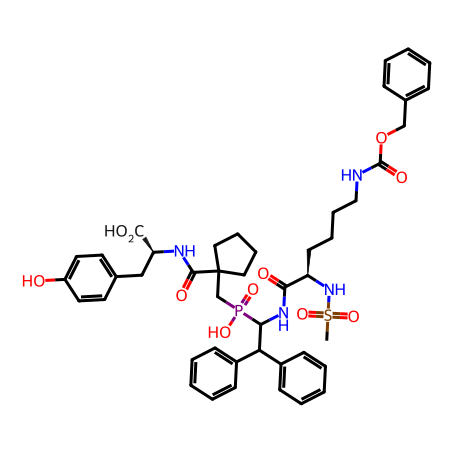 CS(=O)(=O)N[C@H](CCCCNC(=O)OCc1ccccc1)C(=O)NC(C(c1ccccc1)c1ccccc1)P(=O)(O)CC1(C(=O)N[C@@H](Cc2ccc(O)cc2)C(=O)O)CCCC1